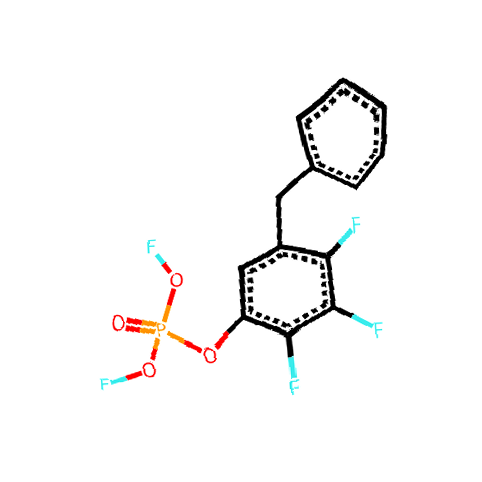 O=P(OF)(OF)Oc1cc(Cc2ccccc2)c(F)c(F)c1F